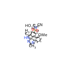 COc1cccc(-c2cc(NC(C)c3cccc(S(=O)(=O)N(CC#N)C(=O)O)c3)nc(C)n2)c1